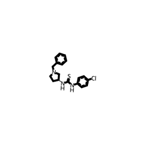 S=C(Nc1ccc(Cl)cc1)N[C@@H]1CCN(Cc2ccccc2)C1